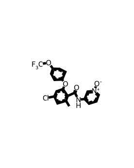 Cc1cc(Cl)cc(Oc2ccc(OC(F)(F)F)cc2)c1C(=O)Nc1ccc[n+]([O-])c1